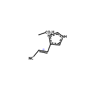 CC(=O)O.N#C/C=C/c1c[nH]cn1